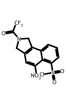 O=C(N1Cc2cc([N+](=O)[O-])c3c(S(=O)(=O)Cl)cccc3c2C1)C(F)(F)F